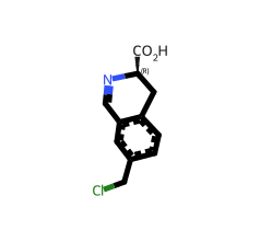 O=C(O)[C@H]1Cc2ccc(CCl)cc2C=N1